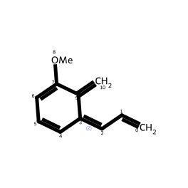 C=C/C=c1/cccc(OC)c1=C